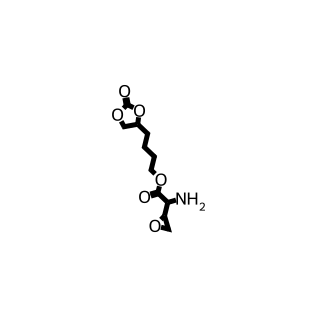 NC(C(=O)OCCCCC1COC(=O)O1)C1CO1